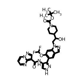 CC(C)(C)OC(=O)N1CCC(C(O)Cn2ncc3cc(-c4n[nH]cc4NC(=O)c4cnn5cccnc45)c(OC(F)F)cc32)CC1